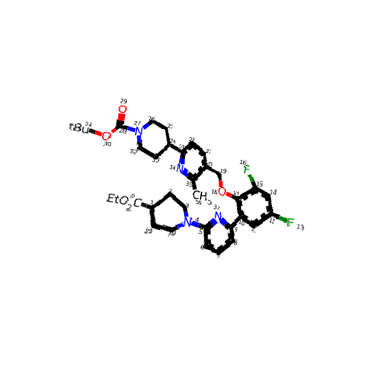 CCOC(=O)C1CCN(c2cccc(-c3cc(F)cc(F)c3OCc3ccc(C4CCN(C(=O)OC(C)(C)C)CC4)nc3C)n2)CC1